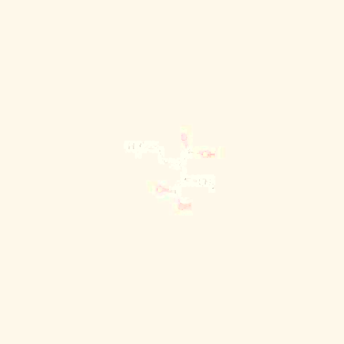 C=CCC(C(=C)C(=O)O)C(=O)O